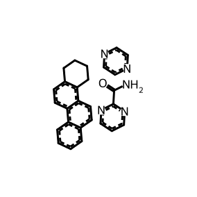 NC(=O)c1ncccn1.c1ccc2c(c1)ccc1c3c(ccc12)CCCC3.c1cnccn1